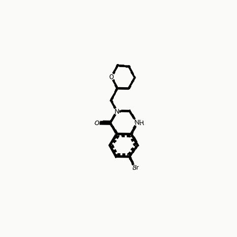 O=C1c2ccc(Br)cc2NCN1CC1CCCCO1